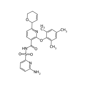 Cc1cc(C)c(Oc2nc(C3C=CCCO3)ccc2C(=O)NS(=O)(=O)c2cccc(N)n2)c(C)c1